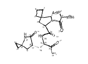 CC(=O)N[C@H](C(=O)N1CC2(CCC2)CC1C(=O)N[C@@H](C[C@@H]1CC2(CC2)NC1=O)C(N)=O)C(C)(C)C